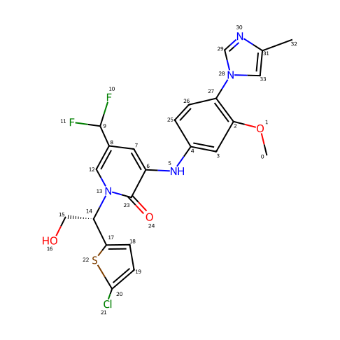 COc1cc(Nc2cc(C(F)F)cn([C@@H](CO)c3ccc(Cl)s3)c2=O)ccc1-n1cnc(C)c1